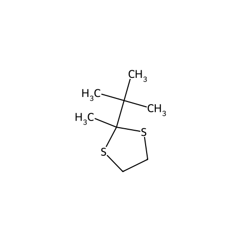 CC(C)(C)C1(C)SCCS1